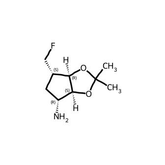 CC1(C)O[C@@H]2[C@@H](CF)C[C@@H](N)[C@@H]2O1